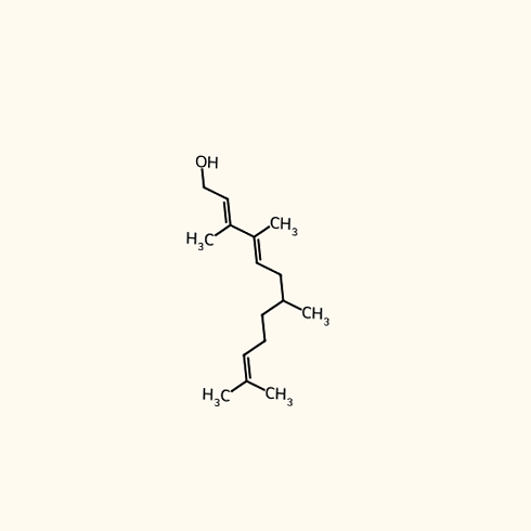 CC(C)=CCCC(C)C/C=C(C)/C(C)=C/CO